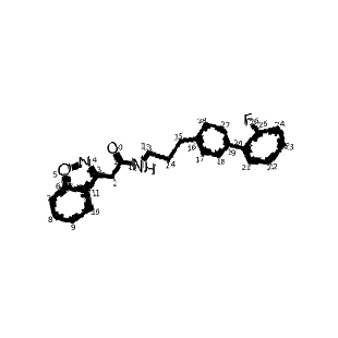 O=C(Cc1noc2ccccc12)NCCCc1ccc(-c2ccccc2F)cc1